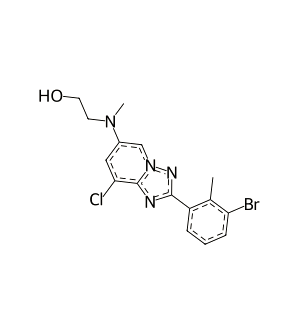 Cc1c(Br)cccc1-c1nc2c(Cl)cc(N(C)CCO)cn2n1